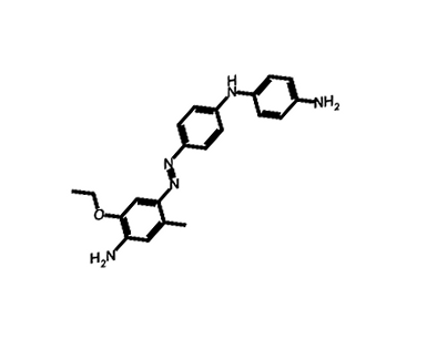 CCOc1cc(N=Nc2ccc(Nc3ccc(N)cc3)cc2)c(C)cc1N